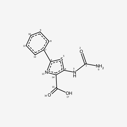 NC(=O)Nc1sc(-c2ccccc2)nc1C(=O)O